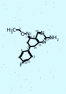 CCO/N=C1\CC(c2ccc(F)cc2)Cc2nc(N)ncc21